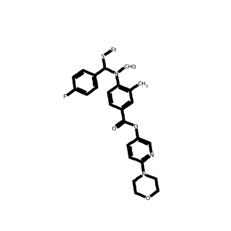 CCSC(c1ccc(F)cc1)N(C=O)c1ccc(C(=O)Oc2ccc(N3CCOCC3)nc2)cc1C